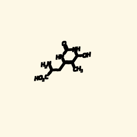 CC1=C(CC(N)C(=O)O)NC(=O)NC1O